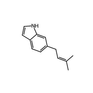 CC(C)=CCc1ccc2cc[nH]c2c1